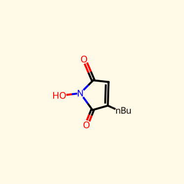 CCCCC1=CC(=O)N(O)C1=O